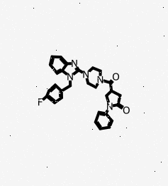 O=C(C1CC(=O)N(c2ccccc2)C1)N1CCN(c2nc3ccccc3n2Cc2ccc(F)cc2)CC1